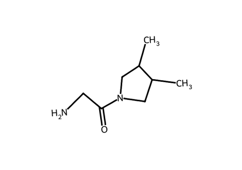 CC1CN(C(=O)CN)CC1C